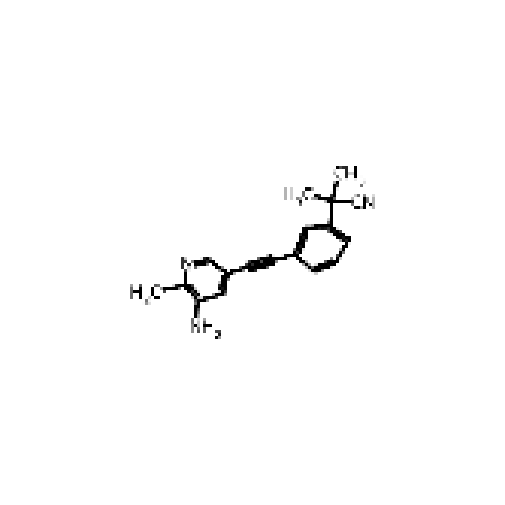 Cc1ncc(C#Cc2cccc(C(C)(C)C#N)c2)cc1N